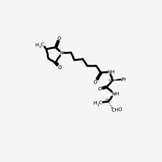 CC1CC(=O)N(CCCCCC(=O)N[C@H](C(=O)N[C@@H](C)C=O)C(C)C)C1=O